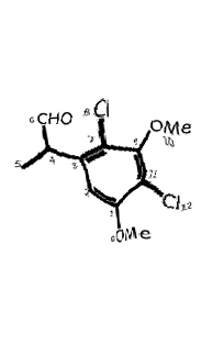 COc1cc(C(C)C=O)c(Cl)c(OC)c1Cl